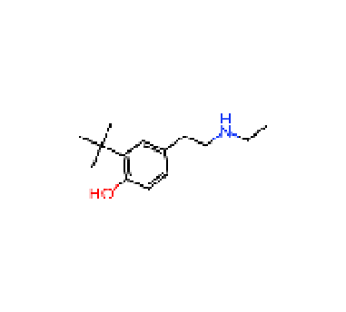 CCNCCc1ccc(O)c(C(C)(C)C)c1